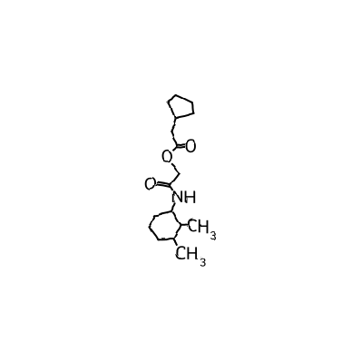 CC1CCCC(NC(=O)COC(=O)CC2CCCC2)C1C